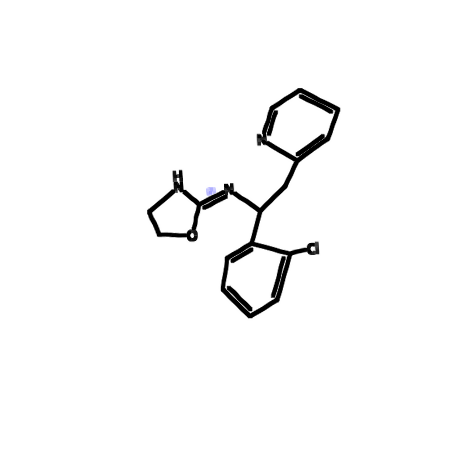 Clc1ccccc1C(Cc1ccccn1)/N=C1/NCCO1